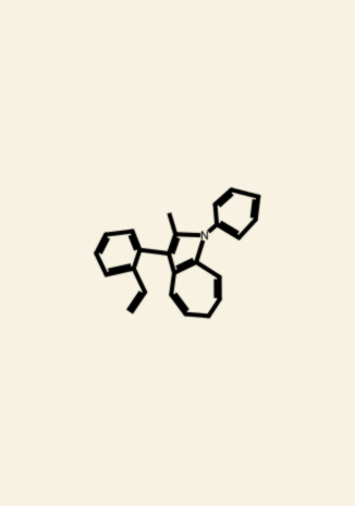 C=Cc1ccccc1-c1c2c(n(-c3ccccc3)c1C)C=CCC=C2